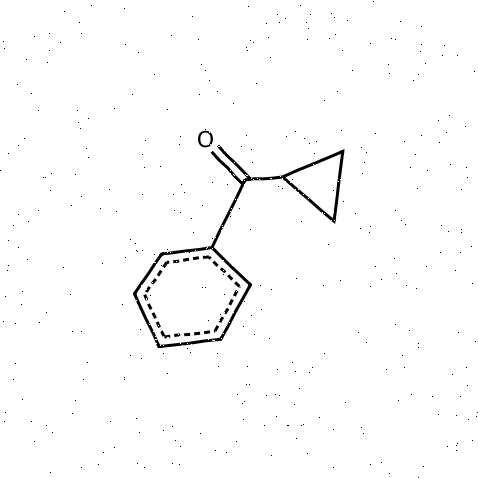 O=C(c1ccccc1)C1CC1